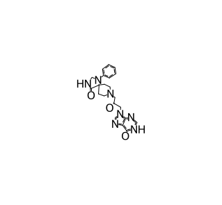 O=C(CN1CCC2(CC1)C(=O)NCN2c1ccccc1)Cn1cnc2c(=O)[nH]cnc21